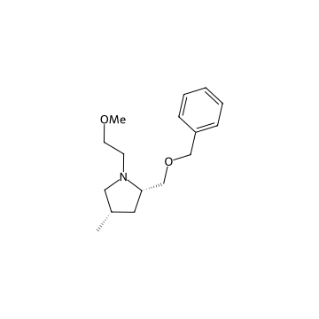 COCCN1C[C@@H](C)C[C@H]1COCc1ccccc1